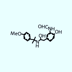 COc1ccc(C(C)(C)NC(O)Cc2ccc(O)c(NC=O)c2)cc1